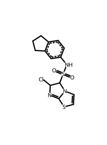 O=S(=O)(Nc1ccc2c(c1)CCC2)C1C(Cl)N=C2SC=CN21